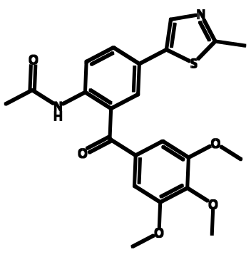 COc1cc(C(=O)c2cc(-c3cnc(C)s3)ccc2NC(C)=O)cc(OC)c1OC